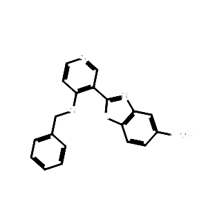 COc1ccc2sc(-c3cnccc3NCc3ccccc3)nc2c1